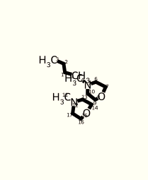 CCCC.CN1CCOCC1.CN1CCOCC1